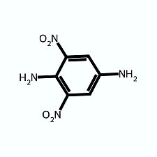 Nc1cc([N+](=O)[O-])c(N)c([N+](=O)[O-])c1